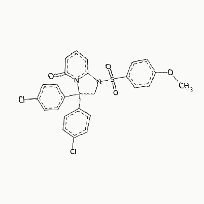 COc1ccc(S(=O)(=O)N2CC(c3ccc(Cl)cc3)(c3ccc(Cl)cc3)n3c2cccc3=O)cc1